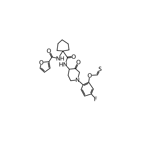 O=C(NC1(C(=O)NC2CCN(c3ccc(F)cc3OC=S)CC2=O)CCCCC1)c1ccco1